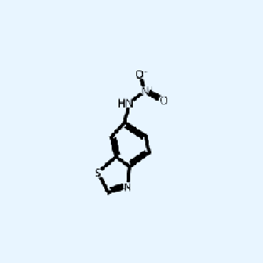 O=[N+]([O-])Nc1ccc2ncsc2c1